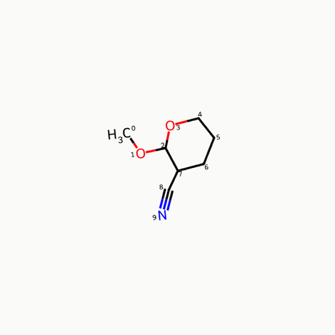 COC1OCCCC1C#N